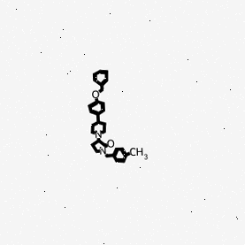 Cc1ccc(CN2CCC(N3CCC(c4ccc(OCc5ccccc5)cc4)CC3)C2=O)cc1